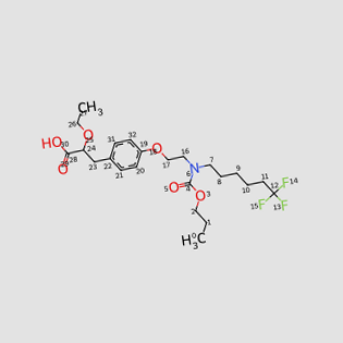 CCCOC(=O)N(CCCCCC(F)(F)F)CCOc1ccc(CC(OCC)C(=O)O)cc1